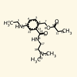 CCNc1ccc(COC(=O)CC)c(C(=O)NCCN(C)C)c1